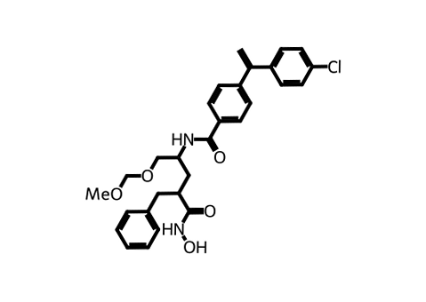 C=C(c1ccc(Cl)cc1)c1ccc(C(=O)NC(COCOC)CC(Cc2ccccc2)C(=O)NO)cc1